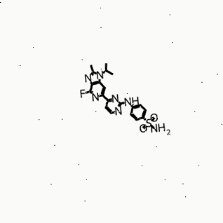 Cc1nc2c(F)nc(-c3ccnc(Nc4ccc(S(N)(=O)=O)cc4)n3)cc2n1C(C)C